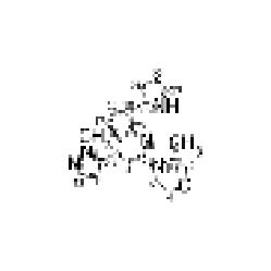 C[C@@H]1COCCN1c1cc(-c2ccnn2C)n2ccc(-c3ccc[nH]3)c2n1